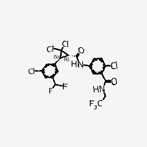 O=C(NCC(F)(F)F)c1cc(NC(=O)[C@@H]2[C@@H](c3cc(Cl)cc(C(F)F)c3)C2(Cl)Cl)ccc1Cl